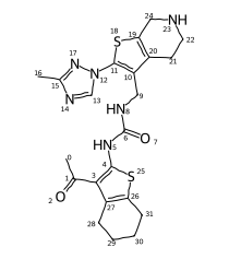 CC(=O)c1c(NC(=O)NCc2c(-n3cnc(C)n3)sc3c2CCNC3)sc2c1CCCC2